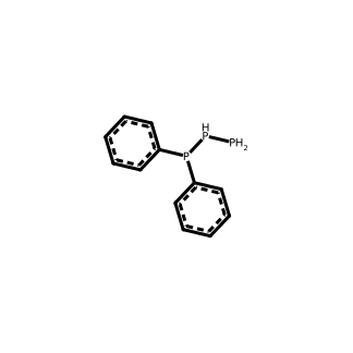 PPP(c1ccccc1)c1ccccc1